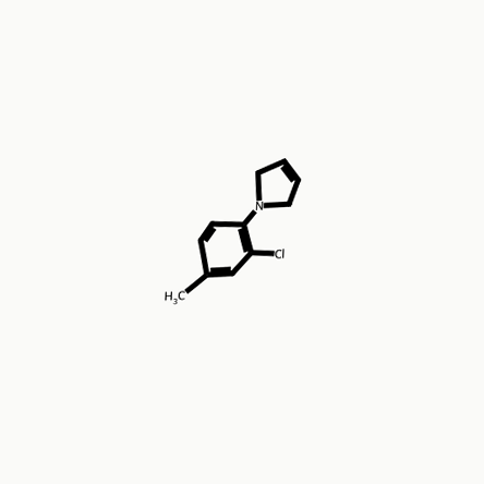 Cc1ccc(N2CC=CC2)c(Cl)c1